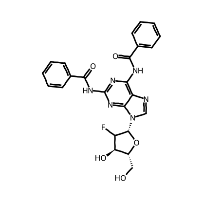 O=C(Nc1nc(NC(=O)c2ccccc2)c2ncn([C@@H]3O[C@H](CO)[C@@H](O)C3F)c2n1)c1ccccc1